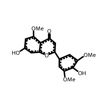 COc1cc(-c2cc(=O)c3c(OC)cc(O)cc3o2)cc(OC)c1O